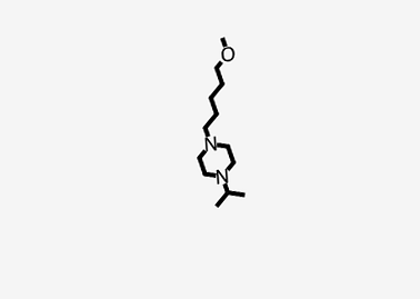 COCCCCCN1CCN(C(C)C)CC1